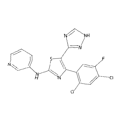 Fc1cc(-c2nc(Nc3cccnc3)sc2-c2nc[nH]n2)c(Cl)cc1Cl